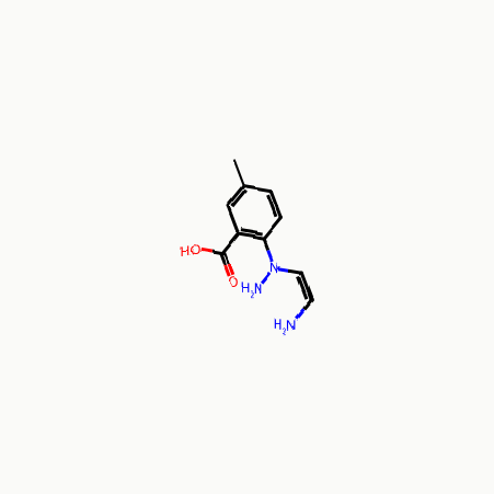 Cc1ccc(N(N)/C=C\N)c(C(=O)O)c1